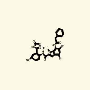 Cn1c(C(=O)Nc2ccc(C#N)cc2-c2noc(=O)[nH]2)cc2c(Br)cc(Br)c(NC(=O)Cc3ccccc3)c21